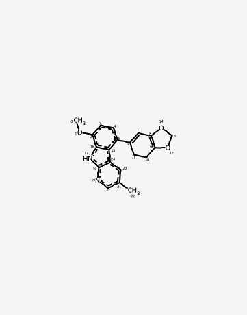 COc1ccc(C2=CC3=C(CC2)OCO3)c2c1[nH]c1ncc(C)cc12